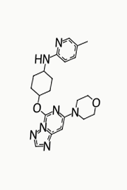 Cc1ccc(NC2CCC(Oc3nc(N4CCOCC4)cc4ncnn34)CC2)nc1